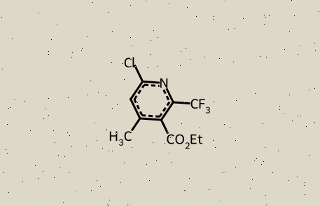 CCOC(=O)c1c(C)cc(Cl)nc1C(F)(F)F